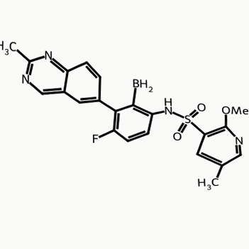 Bc1c(NS(=O)(=O)c2cc(C)cnc2OC)ccc(F)c1-c1ccc2nc(C)ncc2c1